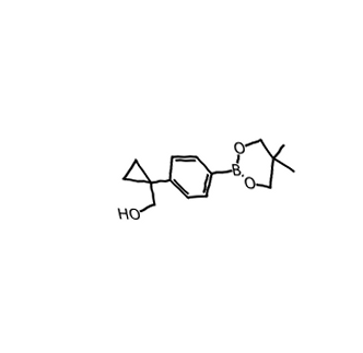 CC1(C)COB(c2ccc(C3(CO)CC3)cc2)OC1